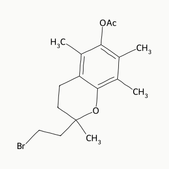 CC(=O)Oc1c(C)c(C)c2c(c1C)CCC(C)(CCBr)O2